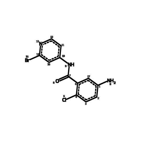 Nc1ccc(Cl)c(C(=O)Nc2ccnc(Br)c2)c1